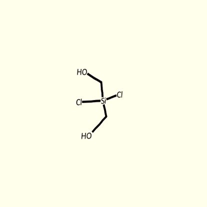 OC[Si](Cl)(Cl)CO